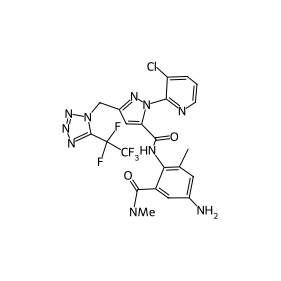 CNC(=O)c1cc(N)cc(C)c1NC(=O)c1cc(Cn2nnnc2C(F)(F)C(F)(F)F)nn1-c1ncccc1Cl